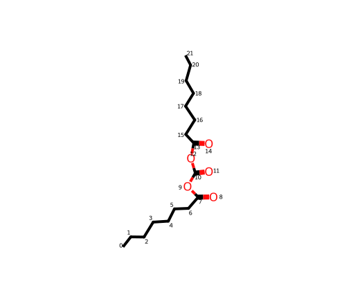 CCCCCCCC(=O)OC(=O)OC(=O)CCCCCCC